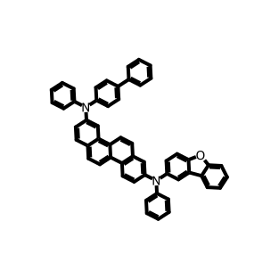 c1ccc(-c2ccc(N(c3ccccc3)c3ccc4ccc5c6ccc(N(c7ccccc7)c7ccc8oc9ccccc9c8c7)cc6ccc5c4c3)cc2)cc1